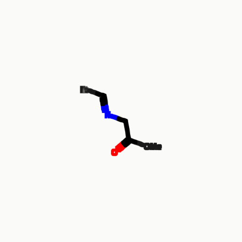 CCC=NCC(=O)OC